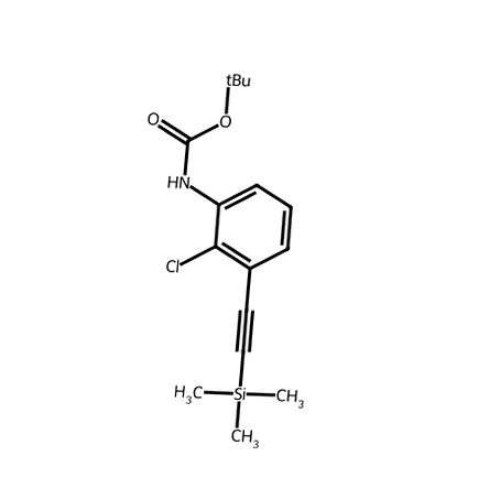 CC(C)(C)OC(=O)Nc1cccc(C#C[Si](C)(C)C)c1Cl